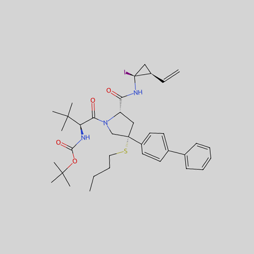 C=C[C@@H]1C[C@@]1(I)NC(=O)[C@@H]1C[C@@](SCCCC)(c2ccc(-c3ccccc3)cc2)CN1C(=O)[C@@H](NC(=O)OC(C)(C)C)C(C)(C)C